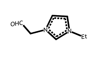 CCn1cc[n+](CC=O)c1